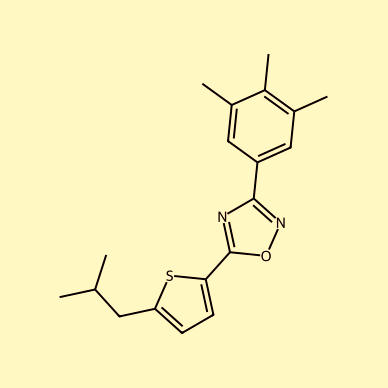 Cc1cc(-c2noc(-c3ccc(CC(C)C)s3)n2)cc(C)c1C